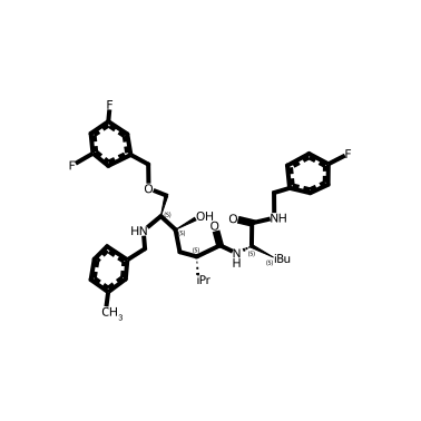 CC[C@H](C)[C@H](NC(=O)[C@@H](C[C@H](O)[C@H](COCc1cc(F)cc(F)c1)NCc1cccc(C)c1)C(C)C)C(=O)NCc1ccc(F)cc1